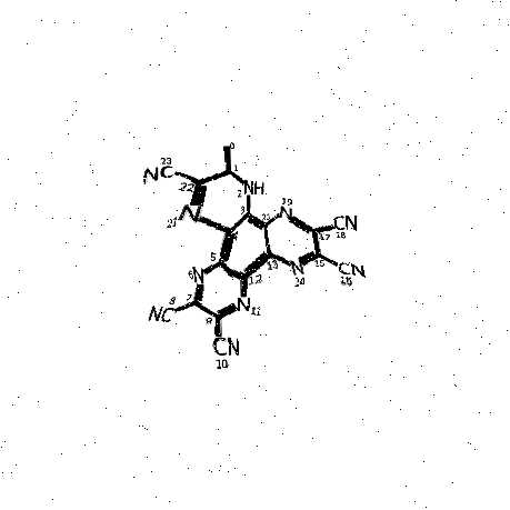 CC1Nc2c(c3nc(C#N)c(C#N)nc3c3nc(C#N)c(C#N)nc23)N=C1C#N